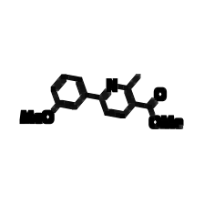 COC(=O)c1ccc(-c2cccc(OC)c2)nc1C